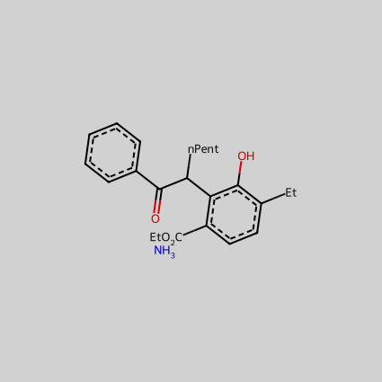 CCCCCC(C(=O)c1ccccc1)c1c(C(=O)OCC)ccc(CC)c1O.N